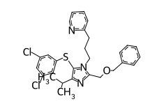 CC(C)c1nc(COCc2ccccc2)n(CCCc2ccccn2)c1Sc1cc(Cl)cc(Cl)c1